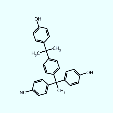 CC(C)(c1ccc(O)cc1)c1ccc(C(C)(c2ccc(O)cc2)c2ccc(C#N)cc2)cc1